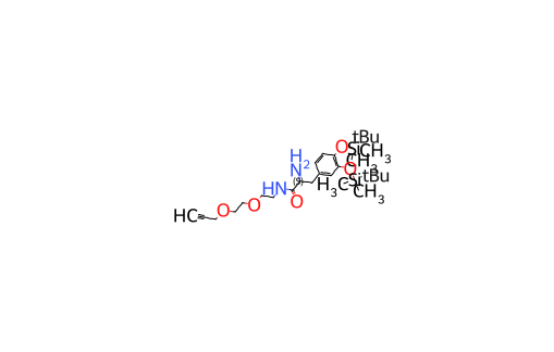 C#CCOCCOCCNC(=O)[C@@H](N)Cc1ccc(O[Si](C)(C)C(C)(C)C)c(O[Si](C)(C)C(C)(C)C)c1